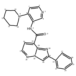 O=C(Nc1cnccc1N1CCCCC1)c1ccnn2cc(-c3ccccc3)nc12